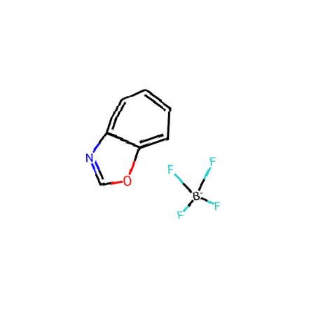 F[B-](F)(F)F.c1ccc2ocnc2c1